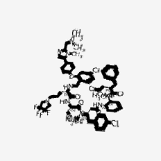 COC[C@H](NC(=O)[C@H](CCCN1CC(F)(F)C(F)(F)C1)NCc1ccc(Cl)cc1Oc1ccc(-c2cnc(CN(C)C)n2C)cc1)C(=O)N(C)[C@H](CC(=O)N[C@H]1CCCC[C@@H]1N(C)C(=O)[C@@H](CC(=O)OC)Cc1ccccc1)Cc1ccc(Cl)cc1